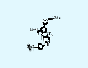 CNC(=O)c1cc(-c2cnn(CCOC)c2)ccc1Nc1nc(Nc2ccc(CO[PH](=O)O)cc2)ncc1C(F)(F)F